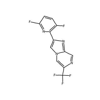 Fc1ccc(F)c(-c2cn3cc(C(F)(F)F)ncc3n2)n1